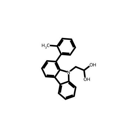 Cc1ccccc1-c1cccc2c3ccccc3n(CC(O)O)c12